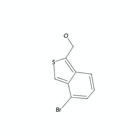 [O]Cc1scc2c(Br)cccc12